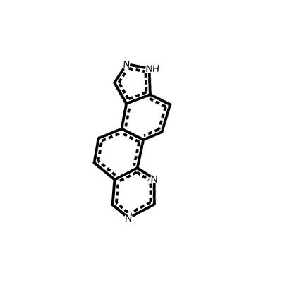 c1ncc2ccc3c4cn[nH]c4ccc3c2n1